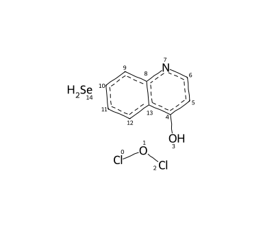 ClOCl.Oc1ccnc2ccccc12.[SeH2]